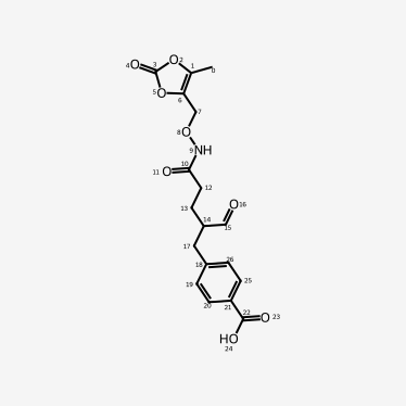 Cc1oc(=O)oc1CONC(=O)CCC(C=O)Cc1ccc(C(=O)O)cc1